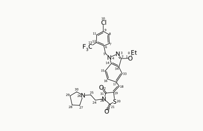 CCOc1nn(Cc2ccc(Cl)cc2C(F)(F)F)c2ccc(C=C3SC(=O)N(CCN4CCCC4)C3=O)cc12